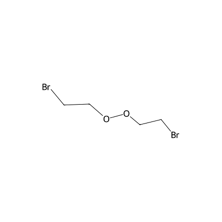 BrCCOOCCBr